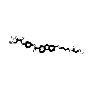 C=CC(=O)OCCCCOc1ccc2c(c1)Cc1cc(C(=O)Oc3ccc(OC(=O)C(=C)CO)cc3)ccc1-2